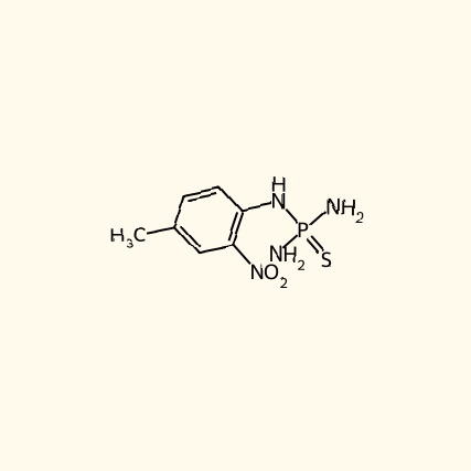 Cc1ccc(NP(N)(N)=S)c([N+](=O)[O-])c1